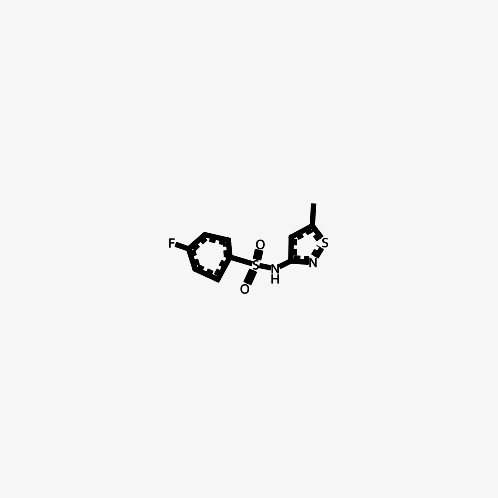 Cc1cc(NS(=O)(=O)c2ccc(F)cc2)ns1